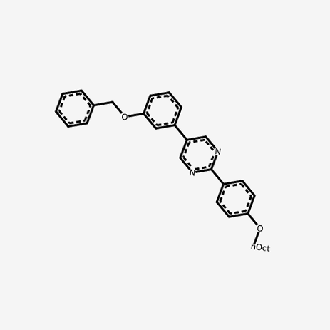 CCCCCCCCOc1ccc(-c2ncc(-c3cccc(OCc4ccccc4)c3)cn2)cc1